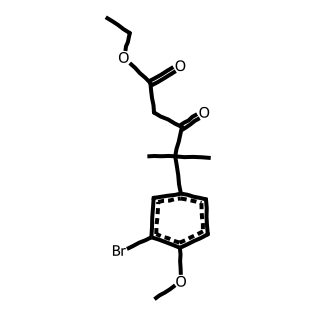 CCOC(=O)CC(=O)C(C)(C)c1ccc(OC)c(Br)c1